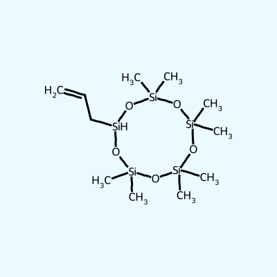 C=CC[SiH]1O[Si](C)(C)O[Si](C)(C)O[Si](C)(C)O[Si](C)(C)O1